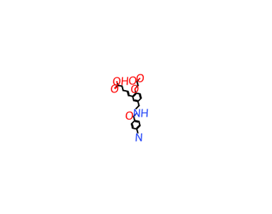 COC(=O)COc1ccc(CCNC(=O)c2ccc(C#N)cc2)cc1C=CCCC(=O)O